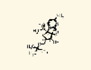 C[SiH](C)[C@@]1(n2ccc(N)nc2=O)O[C@H](COC(C)(C)C)[C@@H](O)C1(F)F